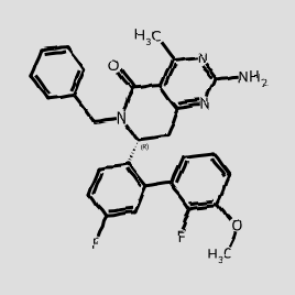 COc1cccc(-c2cc(F)ccc2[C@H]2Cc3nc(N)nc(C)c3C(=O)N2Cc2ccccc2)c1F